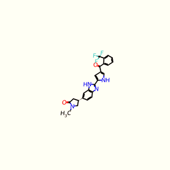 CN1C[C@@H](c2ccc3nc(-c4cc(C(=O)c5ccccc5C(F)(F)F)c[nH]4)[nH]c3c2)CC1=O